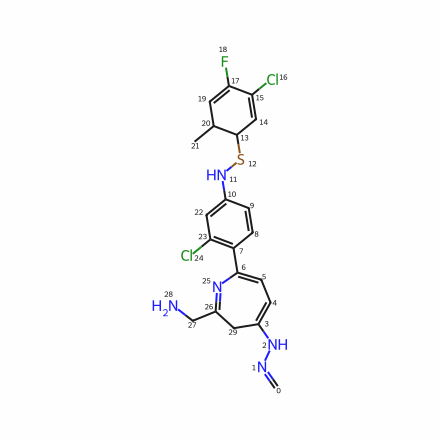 C=NNC1=CC=C(c2ccc(NSC3C=C(Cl)C(F)=CC3C)cc2Cl)N=C(CN)C1